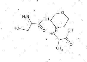 C1COCCN1.CC(O)C(=O)O.NC(CO)C(=O)O